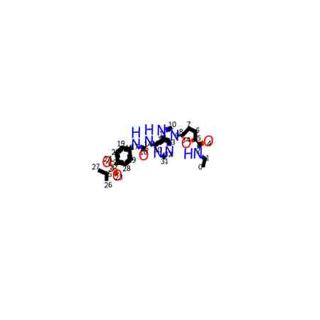 CCNC(=O)[C@@H]1CC[C@H](n2cnc3c(NC(=O)Nc4ccc(S(=O)(=O)C(C)C)cc4)ncnc32)O1